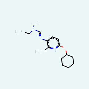 CCN(C)/C=N/c1ccc(OC2CCCCC2)nc1C